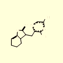 Cc1cnc(CC2C(=O)OC3=CCCCC32)c(C)n1